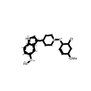 CCC1CC(OC)C=CC1SN1CCC(c2c[nH]c3ccc(OS)cc23)CC1